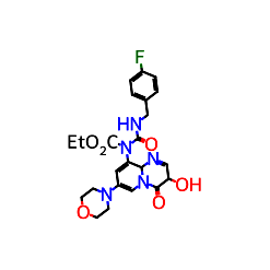 CCOC(=O)N(C(=O)NCc1ccc(F)cc1)C1=CC(N2CCOCC2)=CN2C(=O)C(O)C=NC12